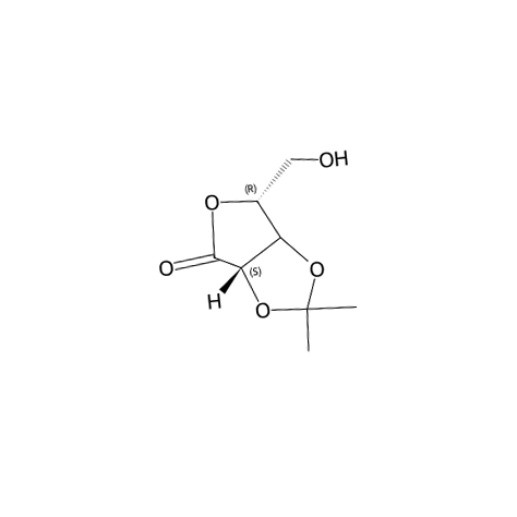 CC1(C)OC2[C@H](O1)C(=O)O[C@@H]2CO